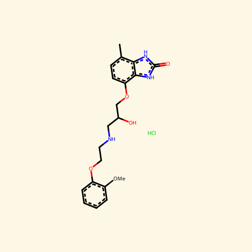 COc1ccccc1OCCNCC(O)COc1ccc(C)c2[nH]c(=O)[nH]c12.Cl